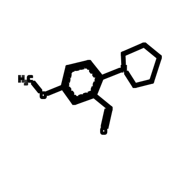 COc1ccc(N2CCCCC2)c(C=O)c1